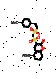 COc1ccc(/C=C\S(=O)(=O)CS(=O)(=O)c2cc3c(OC)cccc3oc2=O)cc1